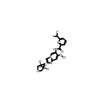 CCOc1cc2nc([C@@H]3[C@@H]4COC[C@@H]43)cn2cc1NC(=O)c1cccc(C(F)F)n1